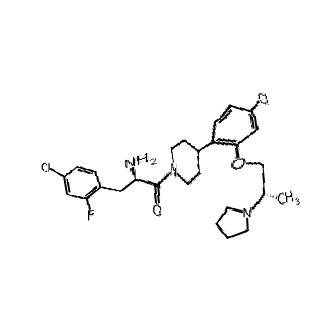 C[C@@H](COc1cc(Cl)ccc1C1CCN(C(=O)[C@H](N)Cc2ccc(Cl)cc2F)CC1)N1CCCC1